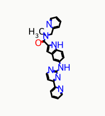 CN(Cc1ccccn1)C(=O)c1cc2cc(Nc3nccc(-c4ccccn4)n3)ccc2[nH]1